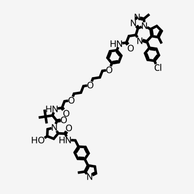 CC1=CCC2=C1C(c1ccc(Cl)cc1)=NC(CC(=O)Nc1ccc(OCCCOCCCOCC(=O)NC(C(=O)N3CC(O)CC3C(=O)NCc3ccc(C4=C(C)N=CC4)cc3)C(C)(C)C)cc1)c1nnc(C)n12